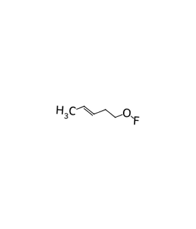 CC=CCCOF